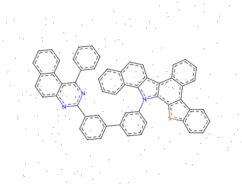 c1ccc(-c2nc(-c3cccc(-c4cccc(-n5c6c7ccccc7ccc6c6c7ccccc7c7c8ccccc8sc7c65)c4)c3)nc3ccc4ccccc4c23)cc1